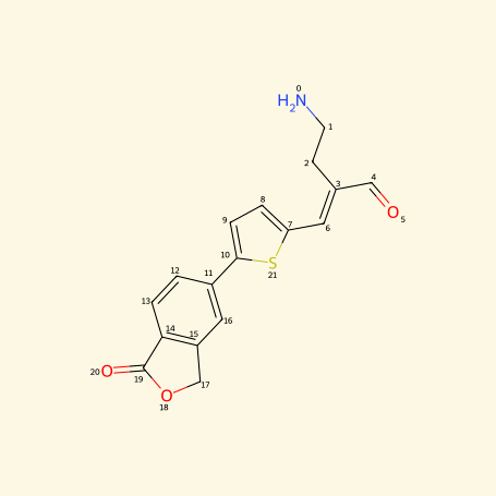 NCC/C(C=O)=C\c1ccc(-c2ccc3c(c2)COC3=O)s1